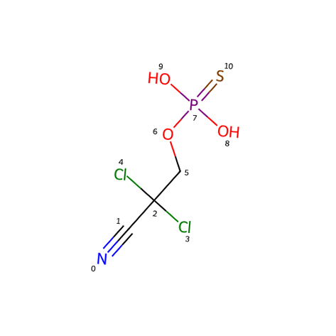 N#CC(Cl)(Cl)COP(O)(O)=S